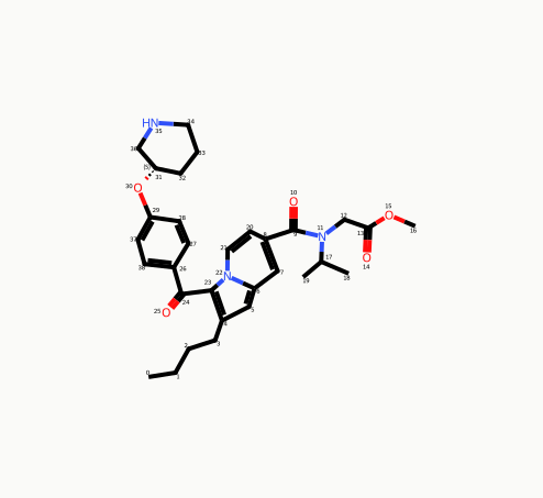 CCCCc1cc2cc(C(=O)N(CC(=O)OC)C(C)C)ccn2c1C(=O)c1ccc(O[C@H]2CCCNC2)cc1